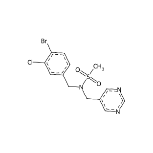 CS(=O)(=O)N(Cc1cncnc1)Cc1ccc(Br)c(Cl)c1